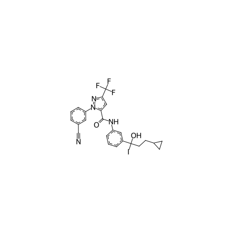 N#Cc1cccc(-n2nc(C(F)(F)F)cc2C(=O)Nc2cccc(C(O)(I)CCC3CC3)c2)c1